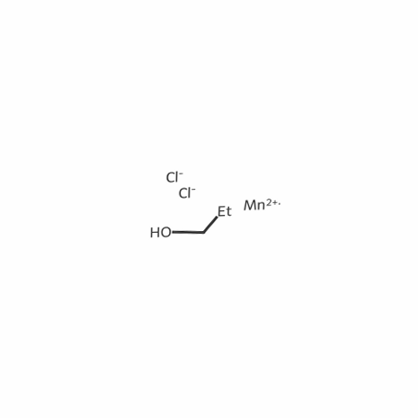 CCCO.[Cl-].[Cl-].[Mn+2]